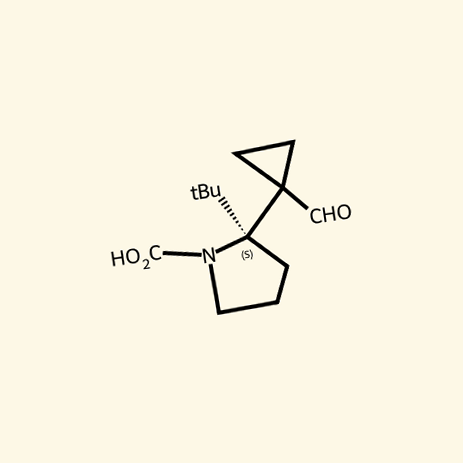 CC(C)(C)[C@]1(C2(C=O)CC2)CCCN1C(=O)O